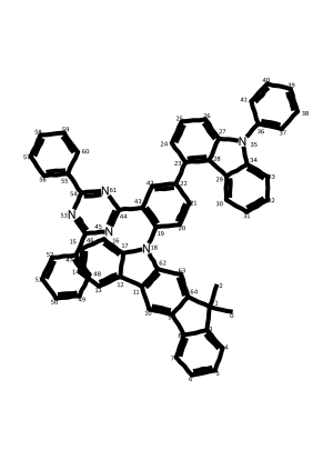 CC1(C)c2ccccc2-c2cc3c4ccccc4n(-c4ccc(-c5cccc6c5c5ccccc5n6-c5ccccc5)cc4-c4nc(-c5ccccc5)nc(-c5ccccc5)n4)c3cc21